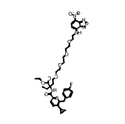 CCOC(=O)C(CC)(CCOCCOCCOCCOCCNc1ccc([N+](=O)[O-])c2nonc12)NC(=O)c1ccc(C2CC2)c(Cc2ccc(F)cc2)n1